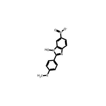 CSc1ccc(-c2nc3ccc([N+](=O)[O-])cc3n2O)cc1